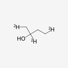 [2H]CCC([2H])(O)C[2H]